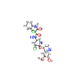 COc1cc2nccc(Oc3ncc(NC(=O)CC(=O)N(C)c4ccccc4Cl)cc3Cl)c2cc1OC